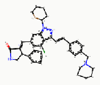 O=C1NCC(c2ccccc2)/C1=C\c1cc(F)c2c(/C=C/c3ccc(CN4CCCCC4)cc3)nn(C3CCCCS3)c2c1